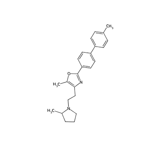 Cc1ccc(-c2ccc(-c3nc(CCN4CCCC4C)c(C)o3)cc2)cc1